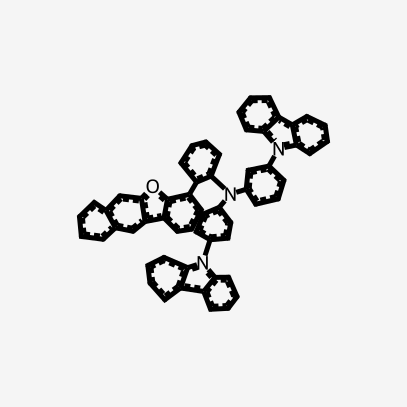 c1cc(N(c2ccc(-n3c4ccccc4c4ccccc43)cc2)c2ccccc2-c2cccc3c2oc2cc4ccccc4cc23)cc(-n2c3ccccc3c3ccccc32)c1